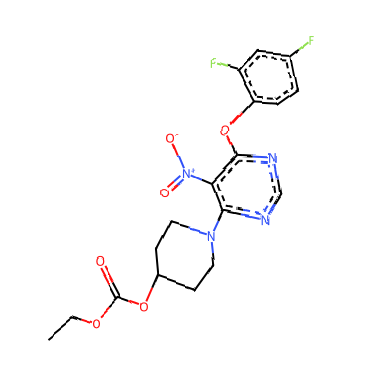 CCOC(=O)OC1CCN(c2ncnc(Oc3ccc(F)cc3F)c2[N+](=O)[O-])CC1